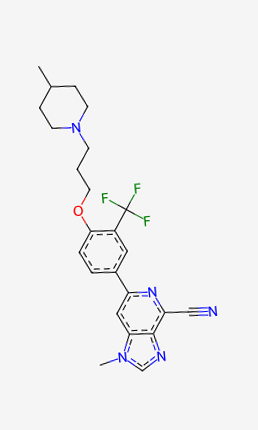 CC1CCN(CCCOc2ccc(-c3cc4c(ncn4C)c(C#N)n3)cc2C(F)(F)F)CC1